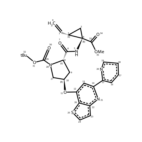 C=C[C@@H]1C[C@]1(NC(=O)[C@@H]1C[C@@H](Oc2cc(-c3ccccn3)nc3ccsc23)CN1C(=O)OC(C)(C)C)C(=O)OC